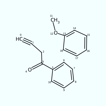 C#CCC(=O)c1ccccc1.COc1ccccc1